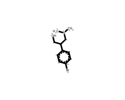 CN(C)CC(CO)c1ccc(Br)cc1